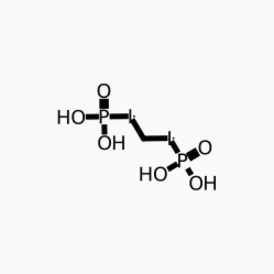 O=P(O)(O)[I]C[I]P(=O)(O)O